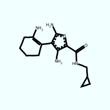 NC1=C(c2c(N)sc(C(=O)NCC3CC3)c2N)CCCC1